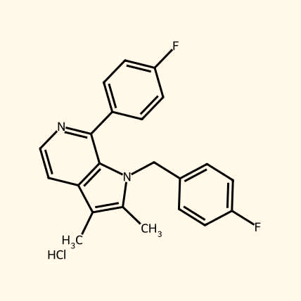 Cc1c(C)n(Cc2ccc(F)cc2)c2c(-c3ccc(F)cc3)nccc12.Cl